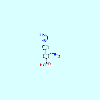 NCc1cc(C(=O)O)ccc1-c1ccc(N2CCNCC2)cc1